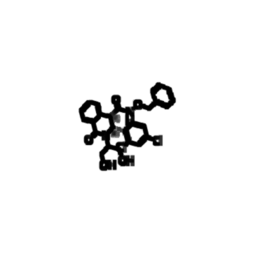 O=C(NOCc1ccccc1)[C@@H]1c2ccccc2C(=O)N(C(CO)CO)[C@H]1c1ccc(Cl)cc1Cl